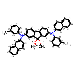 COC1(OC)c2cc(N(c3cccc(C)c3)c3ccc4ccccc4c3)ccc2-c2ccc(N(c3cccc(C)c3)c3ccc4ccccc4c3)cc21